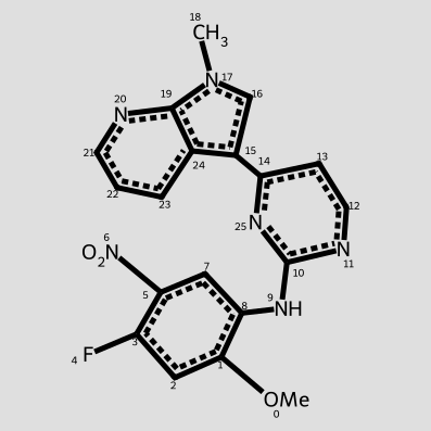 COc1cc(F)c([N+](=O)[O-])cc1Nc1nccc(-c2cn(C)c3ncccc23)n1